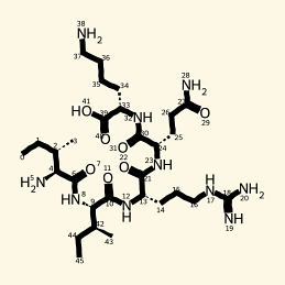 CC[C@H](C)[C@H](N)C(=O)N[C@H](C(=O)N[C@@H](CCCNC(=N)N)C(=O)N[C@@H](CCC(N)=O)C(=O)N[C@@H](CCCCN)C(=O)O)[C@@H](C)CC